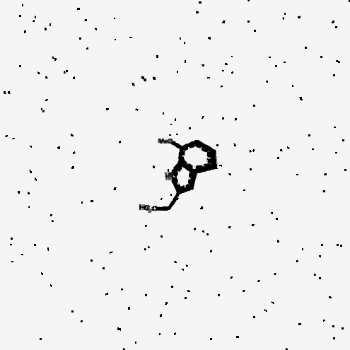 COc1cccc2cc(CC(=O)O)[nH]c12